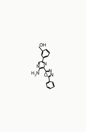 Nc1ncc(-c2cccc(CO)c2)nc1-c1nnc(-c2ccccc2)o1